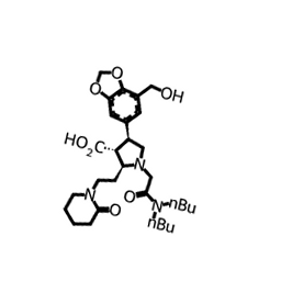 CCCCN(CCCC)C(=O)CN1C[C@H](c2cc(CO)c3c(c2)OCO3)[C@@H](C(=O)O)[C@@H]1CCN1CCCCC1=O